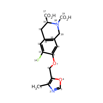 Cc1ncoc1COc1cc2c(cc1F)C[C@@H](C(=O)O)N(C(=O)O)C2